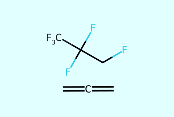 C=C=C.FCC(F)(F)C(F)(F)F